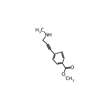 CNCC#Cc1ccc(C(=O)OC)cc1